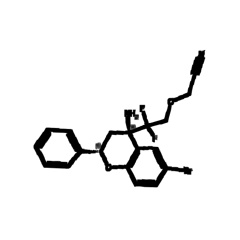 N#CCOCC(F)(F)[C@@]1(N)C[C@@H](c2ccccc2)Oc2ccc(Br)cc21